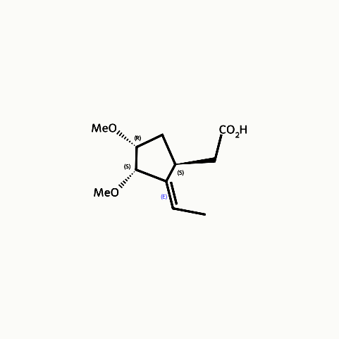 C/C=C1\[C@H](CC(=O)O)C[C@@H](OC)[C@H]1OC